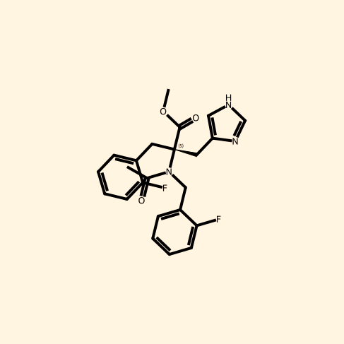 COC(=O)[C@@](Cc1c[nH]cn1)(Cc1ccccc1F)N(Cc1ccccc1F)C(C)=O